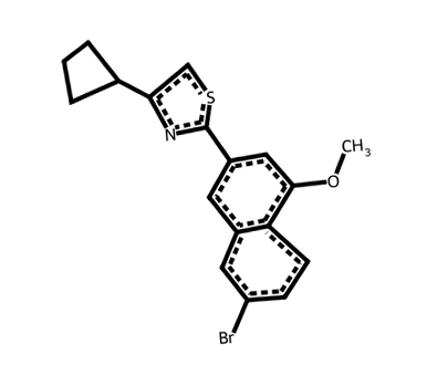 COc1cc(-c2nc(C3CCC3)cs2)cc2cc(Br)ccc12